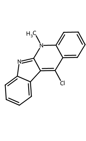 Cn1c2nc3ccccc3c-2c(Cl)c2ccccc21